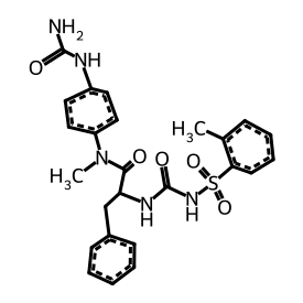 Cc1ccccc1S(=O)(=O)NC(=O)NC(Cc1ccccc1)C(=O)N(C)c1ccc(NC(N)=O)cc1